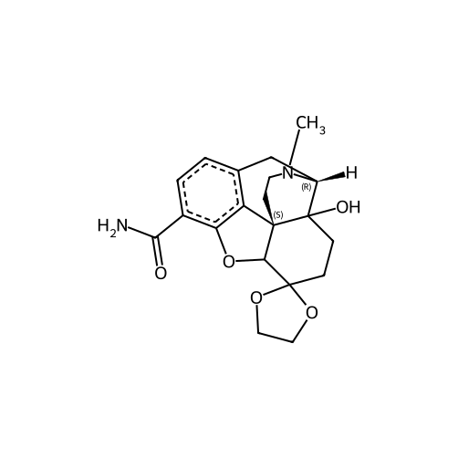 CN1CC[C@]23c4c5ccc(C(N)=O)c4OC2C2(CCC3(O)[C@H]1C5)OCCO2